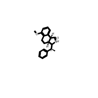 COc1cccc2c1CC[C@H]1C([C@@H](C)c3ccccc3)NC[C@@H]21.Cl